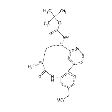 C[C@@H]1CCC[C@H](NC(=O)OC(C)(C)C)c2cc(ccn2)-c2ccc(CO)cc2NC1=O